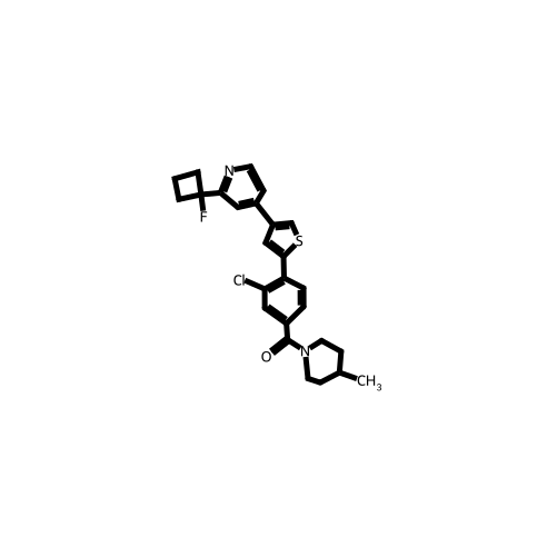 CC1CCN(C(=O)c2ccc(-c3cc(-c4ccnc(C5(F)CCC5)c4)cs3)c(Cl)c2)CC1